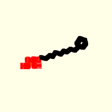 O=P(O)(O)OOCCCCCCCCCCc1ccccc1